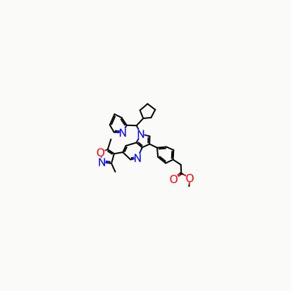 COC(=O)Cc1ccc(-c2cn(C(c3ccccn3)C3CCCC3)c3cc(-c4c(C)noc4C)cnc23)cc1